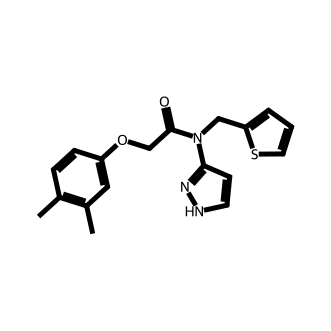 Cc1ccc(OCC(=O)N(Cc2cccs2)c2cc[nH]n2)cc1C